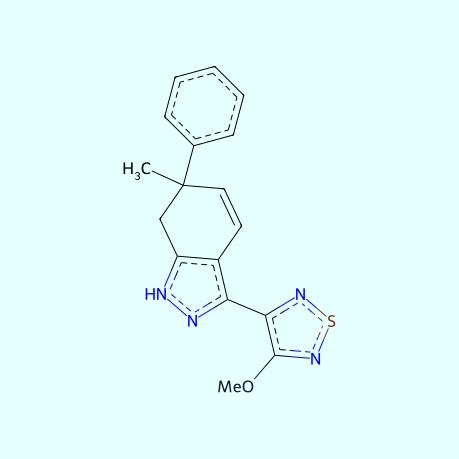 COc1nsnc1-c1n[nH]c2c1C=CC(C)(c1ccccc1)C2